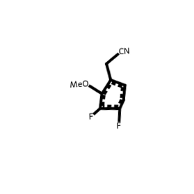 COc1c(CC#N)ccc(F)c1F